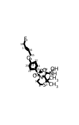 CC1(C)SCCN(S(=O)(=O)c2ccc(OCC#CCF)cc2)[C@H]1C(=O)NO